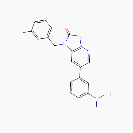 CN(C)c1cccc(-c2cnc3[nH]c(=O)n(Cc4cccc(F)c4)c3c2)c1